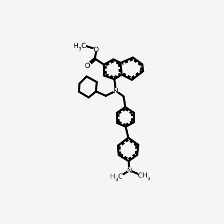 COC(=O)c1cc(N(Cc2ccc(-c3ccc(N(C)C)cc3)cc2)CC2CCCCC2)c2ccccc2c1